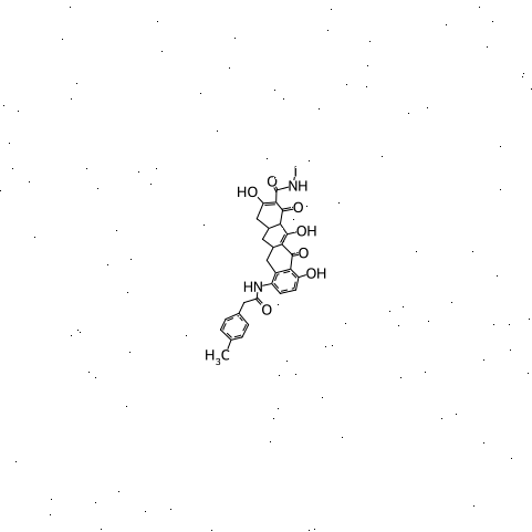 Cc1ccc(CC(=O)Nc2ccc(O)c3c2CC2CC4CC(O)=C(C(=O)NI)C(=O)C4C(O)=C2C3=O)cc1